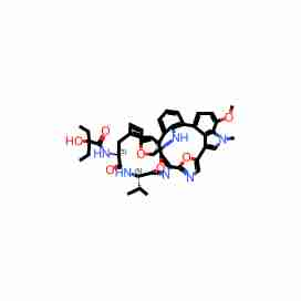 CCC(O)(CC)C(=O)N[C@H]1Cc2ccc3c(c2)[C@]24c5cccc(c5NC2O3)-c2ccc(OC)c3c2c(cn3C)-c2cnc(o2)-c2nc(oc24)[C@H](C(C)C)NC1=O